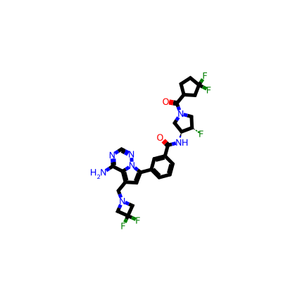 Nc1ncnn2c(-c3cccc(C(=O)N[C@@H]4CN(C(=O)C5CCC(F)(F)C5)C[C@@H]4F)c3)cc(CN3CC(F)(F)C3)c12